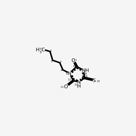 CCCCCn1c(=O)[nH]c(=S)[nH]c1=O